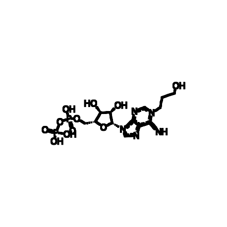 N=c1c2ncn([C@@H]3O[C@H](COP(=O)(O)OP(=O)(O)O)[C@@H](O)[C@H]3O)c2ncn1CCCO